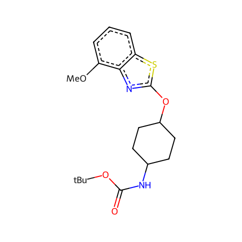 COc1cccc2sc(OC3CCC(NC(=O)OC(C)(C)C)CC3)nc12